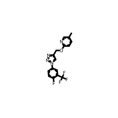 Cc1ccc(OCc2cn(-c3ccc(F)c(C(F)(F)F)c3)nn2)nc1